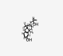 CCC12CCN(CC3(O)CC3)C3C(C)(C)C31Cc1ccc(O)cc12